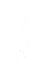 Cc1cncc(C2CC=NN2C(=O)C23CC(Cn4cc(C#N)cn4)(C2)C3)n1